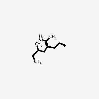 CCC(C)CC(CCF)=C(C)C